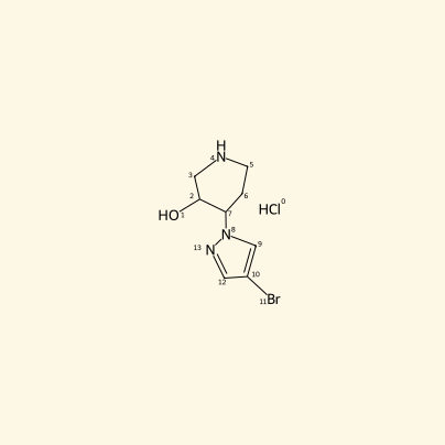 Cl.OC1CNCCC1n1cc(Br)cn1